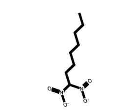 CCCCCCCC([N+](=O)[O-])[N+](=O)[O-]